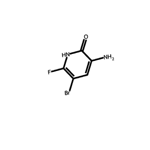 Nc1cc(Br)c(F)[nH]c1=O